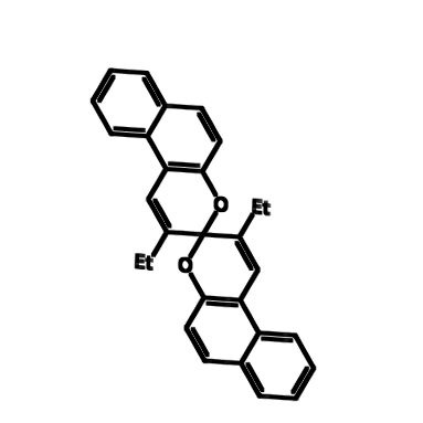 CCC1=Cc2c(ccc3ccccc23)OC12Oc1ccc3ccccc3c1C=C2CC